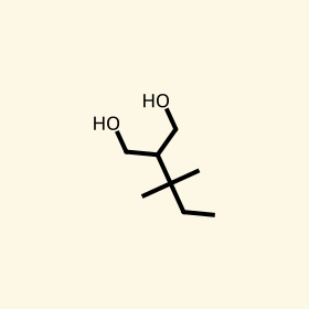 CCC(C)(C)C(CO)CO